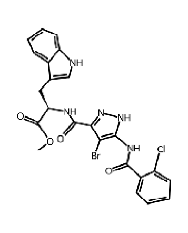 COC(=O)[C@@H](Cc1c[nH]c2ccccc12)NC(=O)c1n[nH]c(NC(=O)c2ccccc2Cl)c1Br